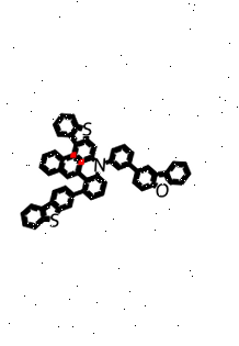 c1cc(-c2ccc3oc4ccccc4c3c2)cc(N(c2ccc3c(c2)sc2ccccc23)c2cccc(-c3ccc4c(c3)sc3ccccc34)c2-c2ccc3ccccc3c2)c1